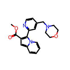 COC(=O)c1cc2ccccn2c1-c1cc(CN2CCOCC2)ccn1